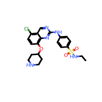 CCNS(=O)(=O)c1ccc(Nc2ncc3c(Cl)ccc(OC4CCNCC4)c3n2)cc1